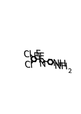 NNc1ccc(C2=NCC(c3cc(Cl)cc(Cl)c3)(C(F)(F)F)C2)cc1